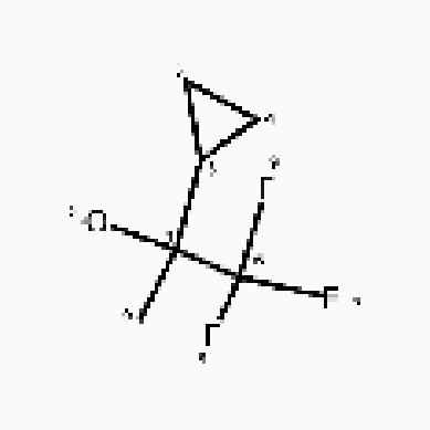 CC([O])(C1CC1)C(F)(F)F